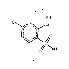 O=S(=O)(O)c1ccc(Cl)cc1Cl.[KH]